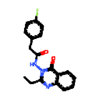 CCc1nc2ccccc2c(=O)n1NC(=O)Cc1ccc(F)cc1